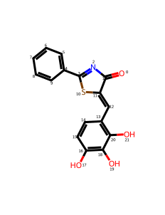 O=C1N=C(c2ccccc2)SC1=Cc1ccc(O)c(O)c1O